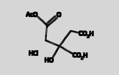 CC(=O)OC(=O)CC(O)(CC(=O)O)C(=O)O.Cl